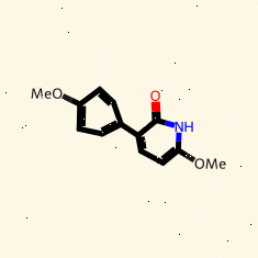 COc1ccc(-c2ccc(OC)[nH]c2=O)cc1